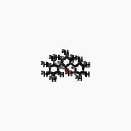 [2H]c1c([2H])c([2H])c(-c2c([2H])c([2H])c([2H])c(-c3c([2H])c([2H])c([2H])c([2H])c3[2H])c2Br)c([2H])c1[2H]